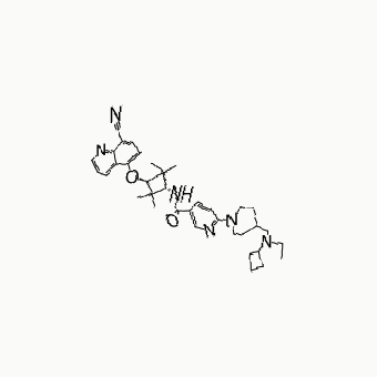 CCN(CC1CCN(c2ccc(C(=O)N[C@H]3C(C)(C)[C@H](Oc4ccc(C#N)c5ncccc45)C3(C)C)cn2)CC1)C1CCC1